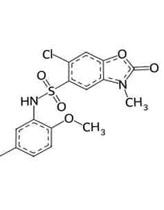 COc1ccc(Cl)cc1NS(=O)(=O)c1cc2c(cc1Cl)oc(=O)n2C